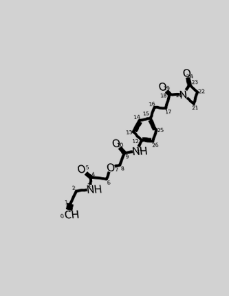 C#CCNC(=O)COCC(=O)Nc1ccc(CCC(=O)N2CCC2=O)cc1